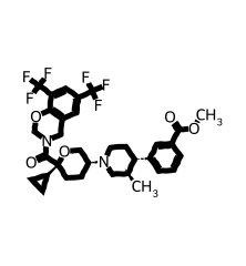 COC(=O)c1cccc([C@H]2CCN([C@@H]3CC[C@@](C(=O)N4COc5c(cc(C(F)(F)F)cc5C(F)(F)F)C4)(C4CC4)OC3)C[C@@H]2C)c1